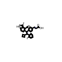 N#Cc1c(/C(=C(/c2ccccc2F)C2CCC2)c2ccc(/C=C/C(=O)O)cc2)ccc2[nH]nc(F)c12